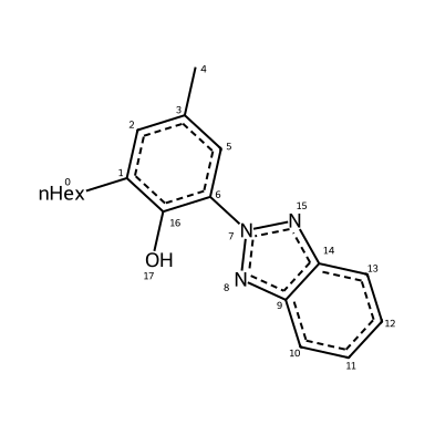 CCCCCCc1cc(C)cc(-n2nc3ccccc3n2)c1O